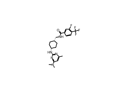 Cc1cc(N(C)C)nc(N[C@H]2CC[C@@H](CNC(=O)c3ccc(C(F)(F)F)c(F)c3)CC2)n1